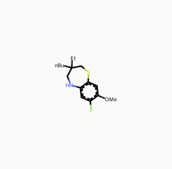 CCCCC1(CC)CNc2cc(F)c(OC)cc2SC1